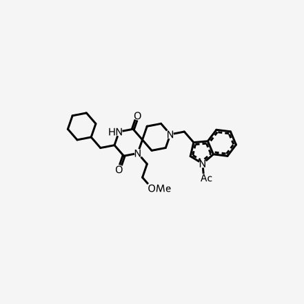 COCCN1C(=O)C(CC2CCCCC2)NC(=O)C12CCN(Cc1cn(C(C)=O)c3ccccc13)CC2